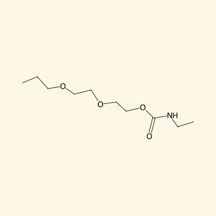 CCCOCCOCCOC(=O)NCC